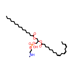 CC/C=C\C/C=C\C/C=C\CCCCCCCC(=O)OC(COC(=O)CCCCCCCCCCCCCC)COP(=O)(O)OCCNC